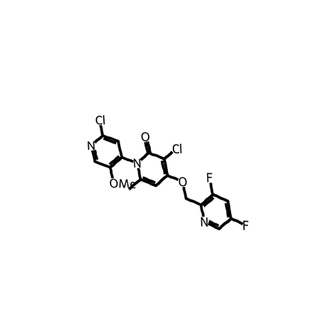 COc1cnc(Cl)cc1-n1c(C)cc(OCc2ncc(F)cc2F)c(Cl)c1=O